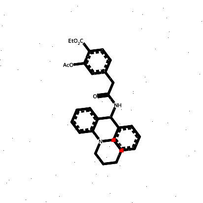 CCOC(=O)c1ccc(CC(=O)NC(c2ccccc2)c2ccccc2N2CCCCC2)cc1OC(C)=O